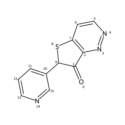 O=C1c2nnccc2SC1c1cccnc1